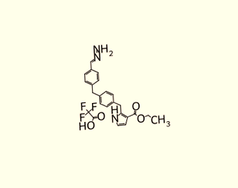 CCOC(=O)c1cc[nH]c1Cc1ccc(Cc2ccc(C=NN)cc2)cc1.O=C(O)C(F)(F)F